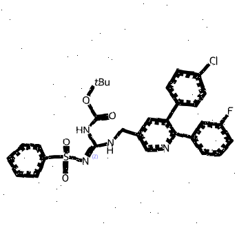 CC(C)(C)OC(=O)N/C(=N\S(=O)(=O)c1ccccc1)NCc1cnc(-c2cccc(F)c2)c(-c2ccc(Cl)cc2)c1